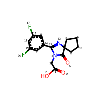 O=C(O)CN1C(=O)C2(CCCC2)N=C1c1cc(F)cc(F)c1